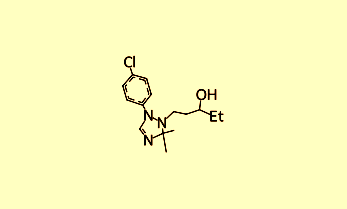 CCC(O)CCN1N(c2ccc(Cl)cc2)C=NC1(C)C